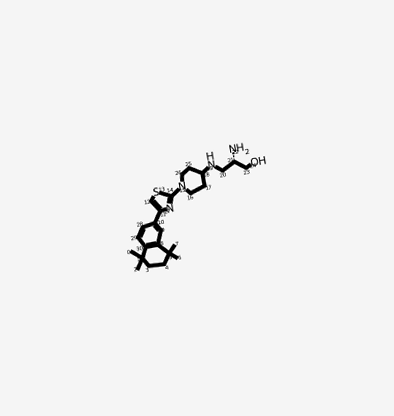 CC1(C)CCC(C)(C)c2cc(-c3csc(N4CCC(NC[C@H](N)CO)CC4)n3)ccc21